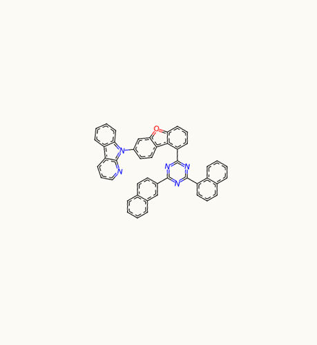 c1ccc2cc(-c3nc(-c4cccc5ccccc45)nc(-c4cccc5oc6cc(-n7c8ccccc8c8cccnc87)ccc6c45)n3)ccc2c1